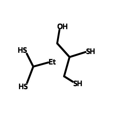 CCC(S)S.OCC(S)CS